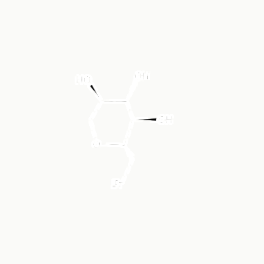 CC(C)C[C@@H]1OC[C@@H](O)[C@H](O)[C@H]1O